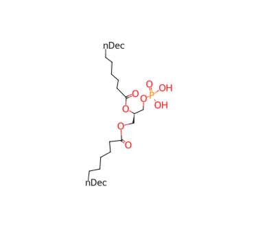 CCCCCCCCCCCCCCCC(=O)OC[C@H](COP(=O)(O)O)OC(=O)CCCCCCCCCCCCCCC